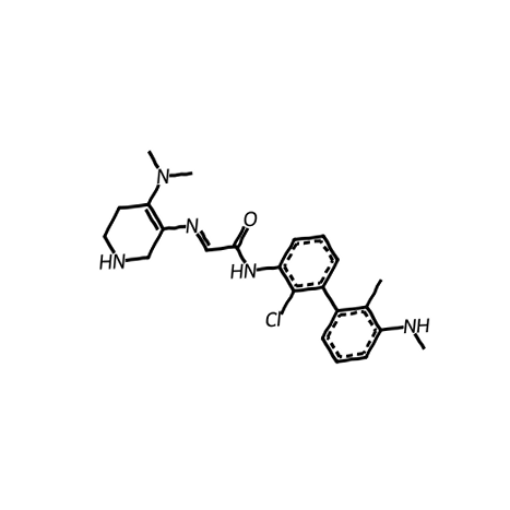 CNc1cccc(-c2cccc(NC(=O)/C=N/C3=C(N(C)C)CCNC3)c2Cl)c1C